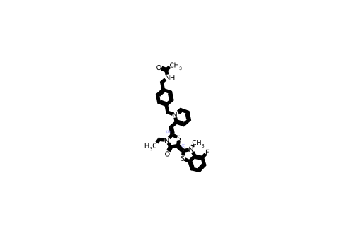 CCn1c(=O)/c(=C2\Sc3cccc(F)c3N2C)s/c1=C\c1cccc[n+]1Cc1ccc(CNC(C)=O)cc1